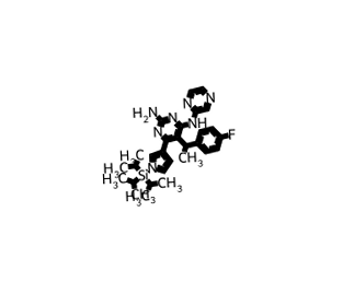 CC(c1ccc(F)cc1)c1c(Nc2cnccn2)nc(N)nc1-c1ccn([Si](C(C)C)(C(C)C)C(C)C)c1